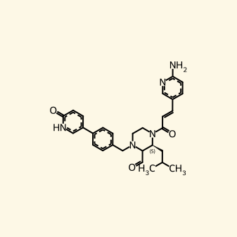 CC(C)C[C@H]1C(C=O)N(Cc2ccc(-c3ccc(=O)[nH]c3)cc2)CCN1C(=O)C=Cc1ccc(N)nc1